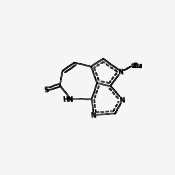 CC(C)(C)n1cc2c3c(ncnc31)NC(=S)C=C2